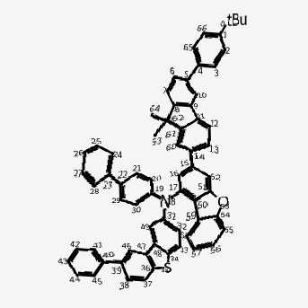 CC(C)(C)c1ccc(-c2ccc3c(c2)-c2ccc(-c4cc(N(c5ccc(-c6ccccc6)cc5)c5ccc6sc7ccc(-c8ccccc8)cc7c6c5)c5c(c4)oc4ccccc45)cc2C3(C)C)cc1